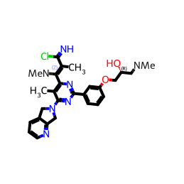 CNC[C@@H](O)COc1cccc(-c2nc(/C(NC)=C(\C)C(=N)Cl)c(C)c(N3Cc4cccnc4C3)n2)c1